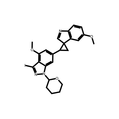 COc1ccc2c(c1)C1(C=N2)CC1c1cc(OC)c2c(I)nn(C3CCCCO3)c2c1